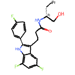 CC(C)C[C@H](CO)NC(=O)CCc1c(-c2ccc(F)cc2)[nH]c2c(F)cc(F)cc12